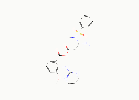 CCOc1cccc(C(=O)OC(=O)C[C@@H](N)N(C)S(=O)(=O)c2ccccc2)c1NC1=NCCCN1